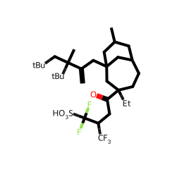 C=C(CC12CC(C)CC(CCC(CC)(C(=O)CC(C(F)(F)F)C(F)(F)S(=O)(=O)O)C1)C2)C(C)(CC(C)(C)C)C(C)(C)C